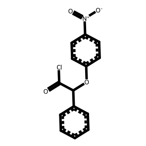 O=C(Cl)C(Oc1ccc([N+](=O)[O-])cc1)c1ccccc1